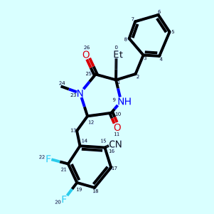 CCC1(Cc2ccccc2)NC(=O)C(Cc2c(C#N)ccc(F)c2F)N(C)C1=O